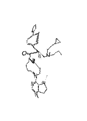 CCCN(CC1CC1)C[C@@H](C(=O)N1CCN(c2ncnc3c2[C@H](C)CC3)CC1)c1ccc(Cl)cc1